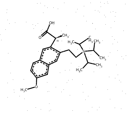 COc1ccc2cc([C@H](C)C(=O)O)c(CC[Si](C(C)C)(C(C)C)C(C)C)cc2c1